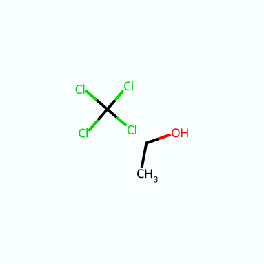 CCO.ClC(Cl)(Cl)Cl